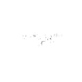 COC(=O)SC1CCN(C(=O)OC(C)(C)C)CC1=O